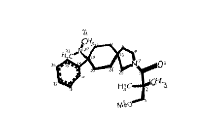 COCC(C)(C)C(=O)N1CCC2(CCC(c3ccccc3)(N(C)C)CC2)C1